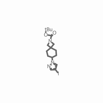 CC(C)(C)OC(=O)N1CC2(CCC(n3cc(I)cn3)CC2)C1